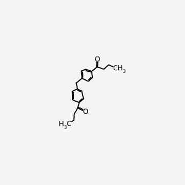 CCCC(=O)c1ccc(Cc2ccc(C(=O)CCC)cc2)cc1